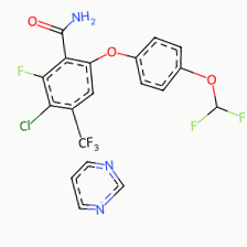 NC(=O)c1c(Oc2ccc(OC(F)F)cc2)cc(C(F)(F)F)c(Cl)c1F.c1cncnc1